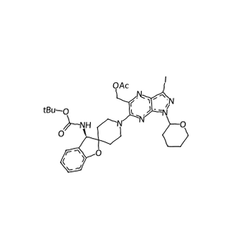 CC(=O)OCc1nc2c(I)nn(C3CCCCO3)c2nc1N1CCC2(CC1)Oc1ccccc1[C@H]2NC(=O)OC(C)(C)C